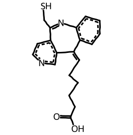 O=C(O)CCCCC=C1c2ccccc2N=C(CS)c2ccncc21